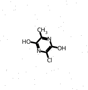 Cc1nc(O)c(Cl)nc1O